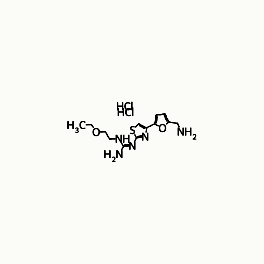 CCOCCNC(N)=Nc1nc(-c2ccc(CN)o2)cs1.Cl.Cl